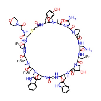 CCCC[C@H]1C(=O)N(C)[C@@H](CCCC)C(=O)N[C@@H](CC(C)C)C(=O)N[C@H](C(=O)NCC(=O)N2CCOCC2)CSCC(=O)N[C@@H](Cc2ccc(O)cc2)C(=O)N(C)[C@@H](C)C(=O)N[C@@H](CC(N)=O)C(=O)N2CCC[C@H]2C(=O)N[C@@H](CN)C(=O)N[C@@H](CC(C)C)C(=O)N2C[C@H](O)C[C@H]2C(=O)N[C@@H](Cc2c[nH]c3ccccc23)C(=O)NCC(=O)N[C@@H](Cc2c[nH]c3ccccc23)C(=O)N1C